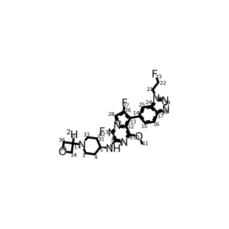 [2H]C1(N2CC[C@H](Nc3nc(OC)c4c(-c5ccc6nnn(CCF)c6c5)c(F)cn4n3)[C@@H](F)C2)COC1